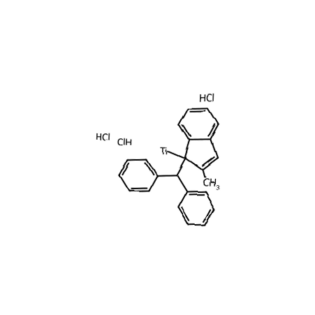 CC1=Cc2ccccc2[C]1([Ti])C(c1ccccc1)c1ccccc1.Cl.Cl.Cl